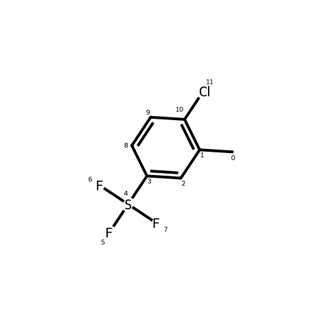 Cc1cc(S(F)(F)F)ccc1Cl